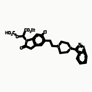 CCOC(=O)C(OC(=O)O)N1C(=O)Cc2cc(CCN3CCN(c4nsc5ccccc45)CC3)c(Cl)cc21